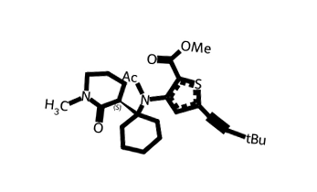 COC(=O)c1sc(C#CC(C)(C)C)cc1N(C(C)=O)C1([C@@H]2CCCN(C)C2=O)CCCCC1